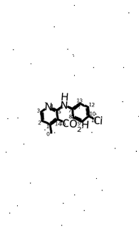 Cc1ccnc(Nc2ccc(Cl)cc2)c1C(=O)O